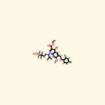 CCOC(=O)c1cn([C@H](CCC(C)(C)[Si](C)(C)O)C(C)C)c2nc(OC)c(CCc3ccc(F)cc3F)cc2c1=O